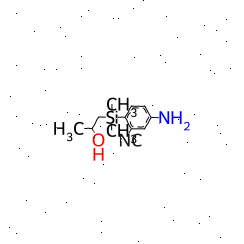 CC(O)C[Si](C)(C)c1ccc(N)cc1C#N